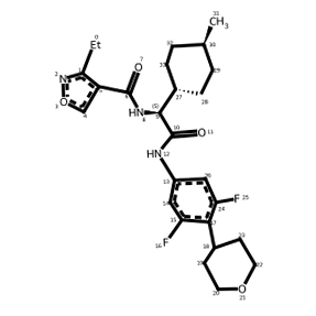 CCc1nocc1C(=O)N[C@H](C(=O)Nc1cc(F)c(C2CCOCC2)c(F)c1)[C@H]1CC[C@H](C)CC1